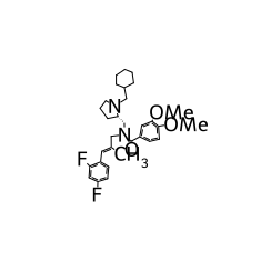 COc1ccc(C(=O)N(C/C(C)=C/c2ccc(F)cc2F)C[C@@H]2CCCN2CC2CCCCC2)cc1OC